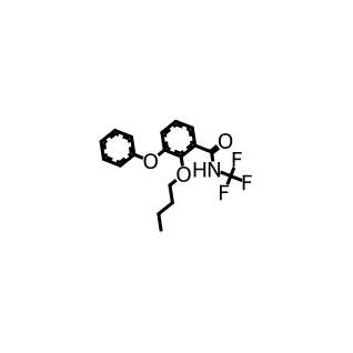 CCCCOc1c(Oc2ccccc2)cccc1C(=O)NC(F)(F)F